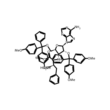 COc1ccc(C(OC[C@H]2O[C@@H](n3cnc4c(N)ncnc43)[C@H](OC(c3ccccc3)(c3ccc(OC)cc3)c3ccc(OC)cc3)[C@@H]2NN(C(=O)OC(C)(C)C)[C@@H](Cc2ccccc2)C(=O)O)(c2ccccc2)c2ccc(OC)cc2)cc1